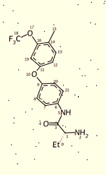 CC[C@@H](N)C(=O)Nc1ccc(Oc2ccc(C)c(OC(F)(F)F)c2)cc1